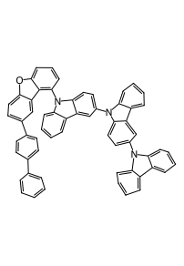 c1ccc(-c2ccc(-c3ccc4oc5cccc(-n6c7ccccc7c7cc(-n8c9ccccc9c9cc(-n%10c%11ccccc%11c%11ccccc%11%10)ccc98)ccc76)c5c4c3)cc2)cc1